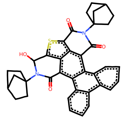 O=C1c2sc3c4c(c5c6ccccc6c6ccccc6c5c(c24)C(=O)N1C12CCC(CC1)C2)C(=O)N(C12CCC(CC1)C2)C3O